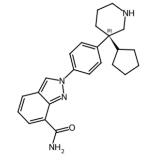 NC(=O)c1cccc2cn(-c3ccc([C@]4(C5CCCC5)CCCNC4)cc3)nc12